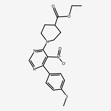 CCOC(=O)C1CCN(c2ncnc(-c3ccc(SC)cc3)c2[N+](=O)[O-])CC1